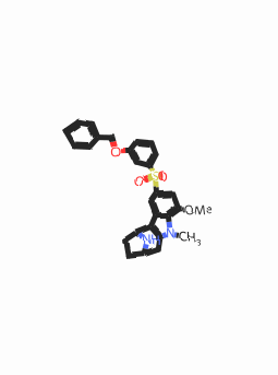 COc1cc(S(=O)(=O)c2cccc(OCc3ccccc3)c2)cc2c3c(n(C)c12)CC1CCC3N1